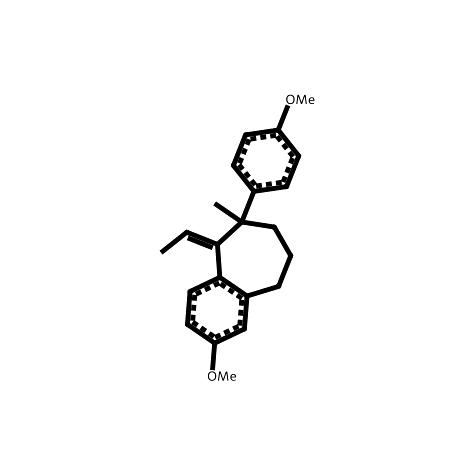 C/C=C1\c2ccc(OC)cc2CCCC1(C)c1ccc(OC)cc1